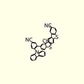 CC12C=C(c3cc(C#N)ccc3-n3c4ccccc4c4ccccc43)C=CC1Sc1cc3sc4ccc(C#N)cc4c3cc12